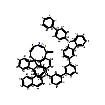 C=C1/C=C\C=C/CC2(c3cc(N(c4cccc(-c5cccc(-c6ccc7c(c6)c6ccccc6n7-c6ccc(-c7ccccc7)cc6)c5)c4)c4ccc5ccccc5c4)ccc31)c1ccccc1-c1ccccc12